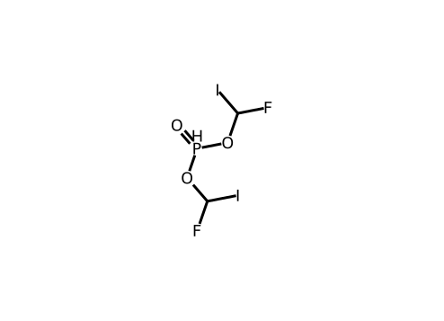 O=[PH](OC(F)I)OC(F)I